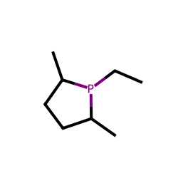 CCP1C(C)CCC1C